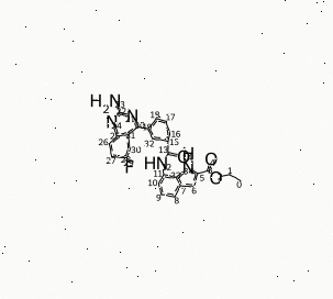 CCOC(=O)c1cc2cccc(NC(=O)c3cccc(-c4nc(N)nc5ccc(F)cc45)c3)c2[nH]1